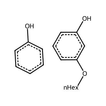 CCCCCCOc1cccc(O)c1.Oc1ccccc1